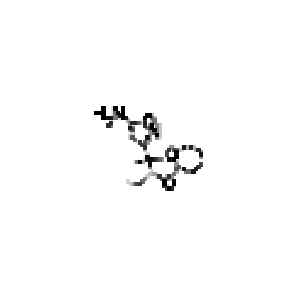 CC[C@@H](OC1CCCCO1)C(C)(C)c1cc(N)on1